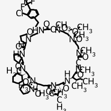 CC[C@H](C)[C@@H]1NC(=O)[C@H](CC(C)C)N(C)C(=O)C[C@@H](C(=O)N2CCCCC2)N(C)C(=O)[C@H](C2CCCCC2)N(C)C(=O)C2(CCCC2)NC(=O)[C@@H]2CCCN2C(=O)[C@H](CCc2ccc(C(F)(F)F)c(Cl)c2)NC(=O)CN(C)C(=O)[C@H](COC)N(C)C(=O)CN(C)C(=O)CN(C)C1=O